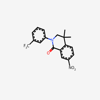 CC1(C)CN(c2cccc(C(F)(F)F)c2)C(=O)c2cc([N+](=O)[O-])ccc21